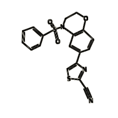 N#Cc1nc(-c2ccc3c(c2)N(S(=O)(=O)c2ccccc2)CCO3)cs1